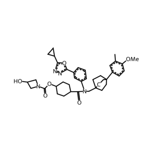 COc1ccc(C23CCC(CN(C(=O)C4CCC(OC(=O)N5CC(O)C5)CC4)c4cccc(-c5nnc(C6CC6)o5)c4)(CC2)CC3)cc1C